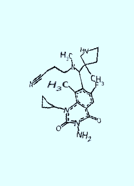 Cc1c(C(N(C)CCC#N)C2(C)CCNC2)c(F)cc2c(=O)n(N)c(=O)n(C3CC3)c12